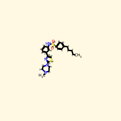 CCCCCc1ccc(S(=O)(=O)Nc2cccc(-c3csc(N4CCN(C)CC4)n3)c2)cc1